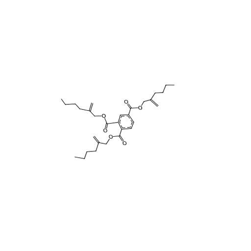 C=C(CCCC)COC(=O)c1ccc(C(=O)OCC(=C)CCCC)c(C(=O)OCC(=C)CCCC)c1